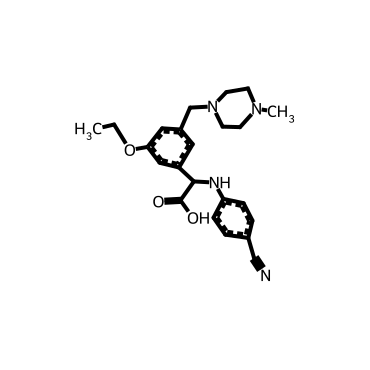 CCOc1cc(CN2CCN(C)CC2)cc(C(Nc2ccc(C#N)cc2)C(=O)O)c1